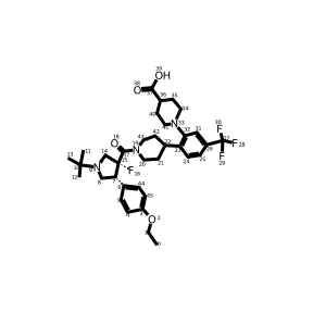 CCOc1ccc([C@@H]2CN(C(C)(C)C)C[C@@]2(F)C(=O)N2CCC(c3ccc(C(F)(F)F)cc3N3CCC(C(=O)O)CC3)CC2)cc1